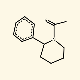 CC(=S)N1CCCCC1c1ccccc1